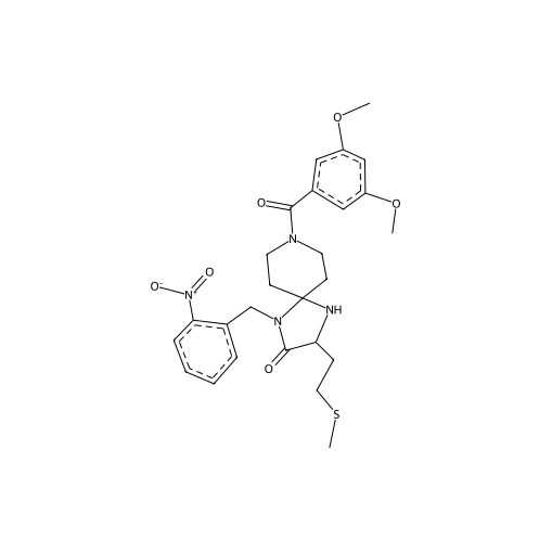 COc1cc(OC)cc(C(=O)N2CCC3(CC2)NC(CCSC)C(=O)N3Cc2ccccc2[N+](=O)[O-])c1